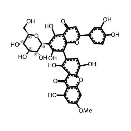 COc1cc(O)c2c(=O)c3c(O)c(-c4c(O)c([C@@H]5O[C@H](CO)[C@@H](O)[C@H](O)[C@H]5O)c(O)c5c(=O)cc(-c6ccc(O)c(O)c6)oc45)cc(O)c3oc2c1